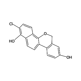 Oc1ccc2c(c1)COc1c-2ccc2c(O)c(Cl)ccc12